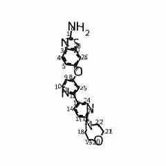 Nc1nc2ccc(Oc3ccnc(-c4ccc(N5CCOCC5)nc4)c3)cc2s1